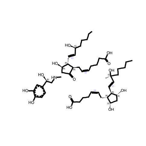 CCCCC[C@H](O)/C=C/[C@H]1[C@H](O)CC(=O)[C@@H]1C/C=C\CCCC(=O)O.CCCCC[C@](C)(O)/C=C/[C@@H]1[C@@H](C/C=C\CCCC(=O)O)[C@@H](O)C[C@H]1O.CNC[C@H](O)c1ccc(O)c(O)c1